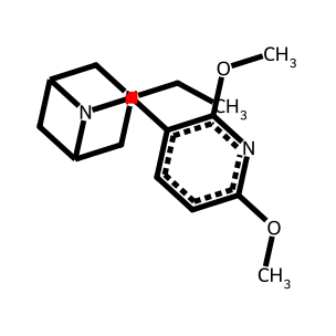 CCN1CC2CC(C1)N2Cc1ccc(OC)nc1OC